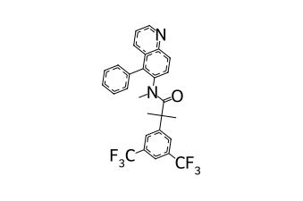 CN(C(=O)C(C)(C)c1cc(C(F)(F)F)cc(C(F)(F)F)c1)c1ccc2ncccc2c1-c1ccccc1